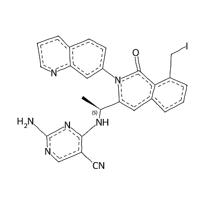 C[C@H](Nc1nc(N)ncc1C#N)c1cc2cccc(CI)c2c(=O)n1-c1ccc2cccnc2c1